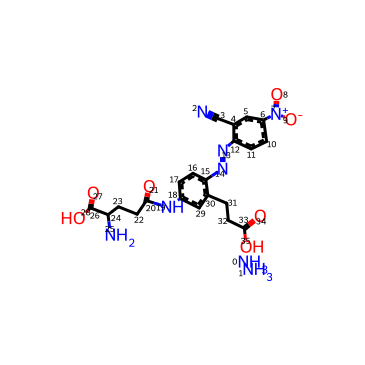 N.N.N#Cc1cc([N+](=O)[O-])ccc1/N=N/c1ccc(NC(=O)CCC(N)C(=O)O)cc1CCC(=O)O